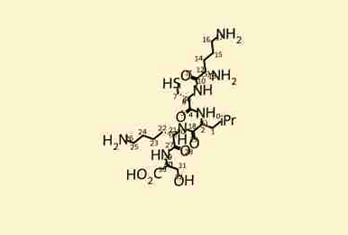 CC(C)C[C@H](NC(=O)[C@H](CS)NC(=O)[C@@H](N)CCCN)C(=O)N[C@@H](CCCCN)C(=O)N[C@@H](CO)C(=O)O